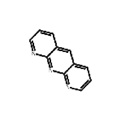 c1cnc2nc3ncccc3cc2c1